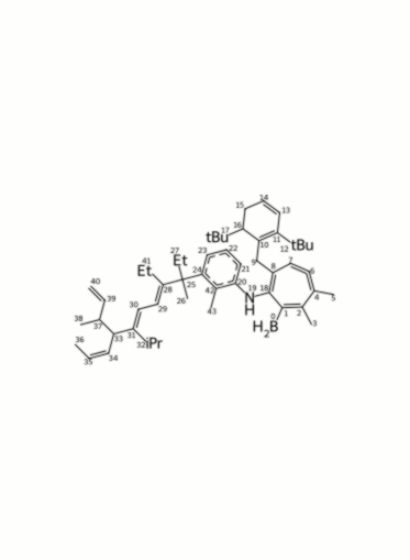 BC1=C(C)C(C)=C=CC(CC2=C(C(C)(C)C)C=CCC2C(C)(C)C)=C1Nc1cccc(C(C)(CC)/C(=C/C=C(\C(C)C)C(/C=C\C)C(C)C=C)CC)c1C